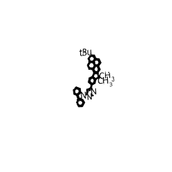 CC(C)(C)c1cc2ccc3cc4c(c5ccc(c1)c2c35)-c1ccc(-c2cc(-n3c5ccccc5c5ccccc53)ncn2)cc1C4(C)C